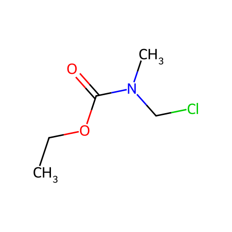 CCOC(=O)N(C)CCl